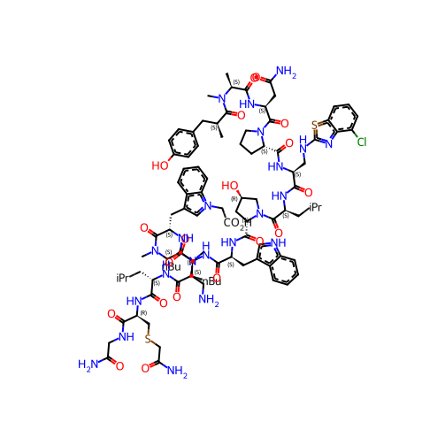 CCCC[C@@H](C(=O)N(C)[C@@H](CCCC)C(=O)N[C@@H](CC(C)C)C(=O)N[C@@H](CSCC(N)=O)C(=O)NCC(N)=O)N(C)C(=O)[C@H](Cc1cn(CC(=O)O)c2ccccc12)NC(=O)[C@H](CCN)NC(=O)[C@H](Cc1c[nH]c2ccccc12)NC(=O)[C@@H]1C[C@@H](O)CN1C(=O)[C@H](CC(C)C)NC(=O)[C@H](CNc1nc2c(Cl)cccc2s1)NC(=O)[C@@H]1CCCN1C(=O)[C@H](CC(N)=O)NC(=O)[C@H](C)N(C)C(=O)[C@@H](C)Cc1ccc(O)cc1